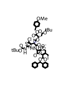 COc1ccc(COC(=O)[C@H](CC(=O)OC(C)(C)C)O/N=C(\C(=O)N[C@@H]2C(=O)N3C(C(=O)OC(c4ccccc4)c4ccccc4)=C(CI)C[S+]([O-])[C@H]23)c2nc(NC(=O)OC(C)(C)C)sc2Cl)cc1